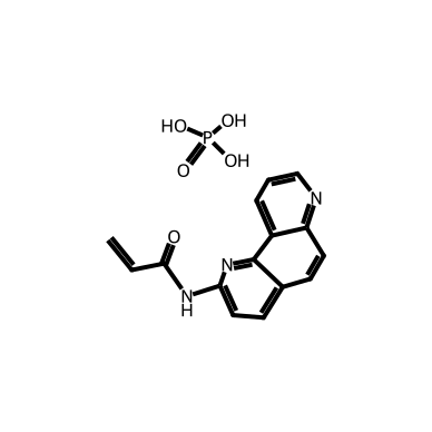 C=CC(=O)Nc1ccc2ccc3ncccc3c2n1.O=P(O)(O)O